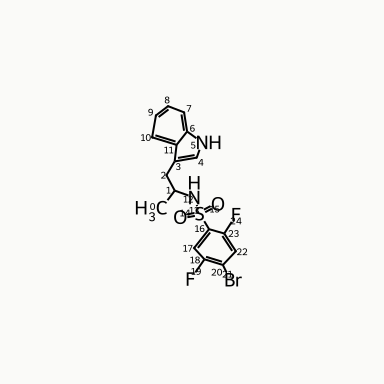 CC(Cc1c[nH]c2ccccc12)NS(=O)(=O)c1cc(F)c(Br)cc1F